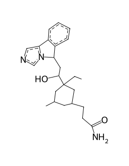 CCC1(C(O)CC2c3ccccc3-c3cncn32)CC(C)CC(CCC(N)=O)C1